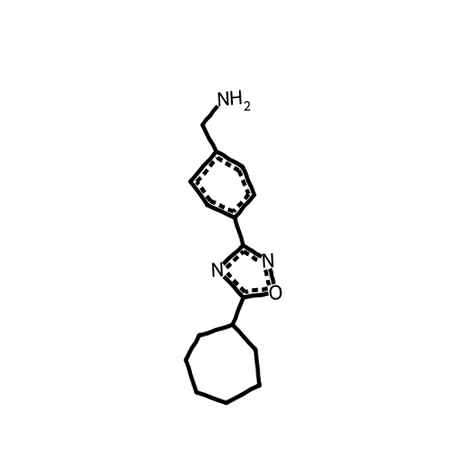 NCc1ccc(-c2noc(C3CCCCCC3)n2)cc1